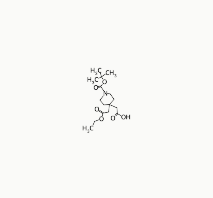 CCOC(=O)CC1(CC(=O)O)CCN(C(=O)OC(C)(C)C)CC1